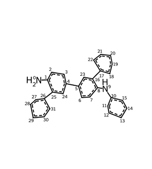 Nc1ccc(-c2ccc(Nc3ccccc3)c(-c3ccccc3)c2)cc1-c1ccccc1